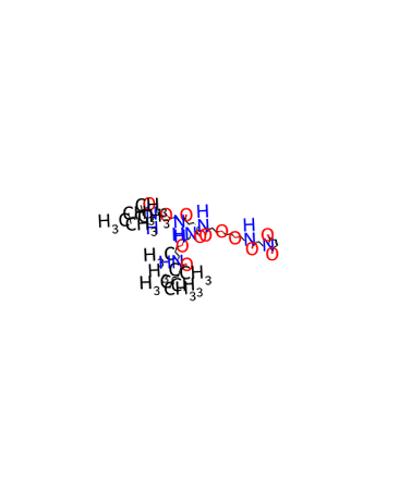 CC(CNC(=O)C(C)(C)CCC(C)(C)C)COCCNC(=O)[C@H](CCC(=O)NCCOCCNC(=O)C(C)(C)CCC(C)(C)C)NC(=O)CCOCCOCCNC(=O)CCN1C(=O)C=CC1=O